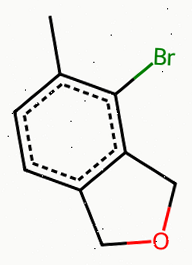 Cc1ccc2c(c1Br)COC2